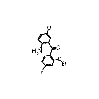 CCOc1cc(F)ccc1C(=O)c1cc(Cl)ccc1N